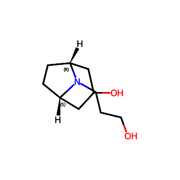 OCCCN1[C@@H]2CC[C@H]1CC(O)C2